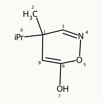 CC(C)C1(C)C=NOC(O)=C1